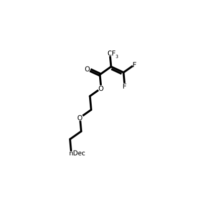 CCCCCCCCCCCCOCCOC(=O)C(=C(F)F)C(F)(F)F